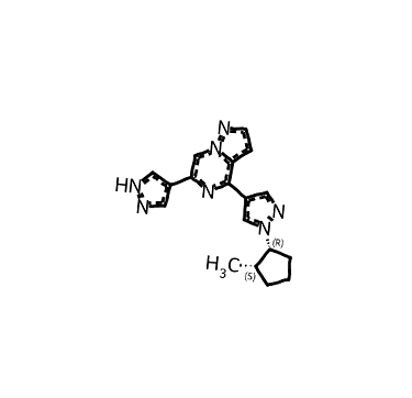 C[C@H]1CCC[C@H]1n1cc(-c2nc(-c3cn[nH]c3)cn3nccc23)cn1